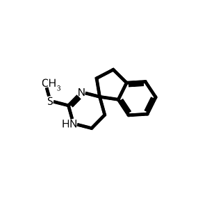 CSC1=NC2(CCN1)CCc1ccccc12